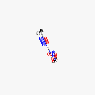 CCC(C)(CC)CCCCCNC(=O)NC(=O)NC(=O)NCCCCCCNC(=O)OCC1COC(=O)N(C(C)(C)CC)C(C)(C)OC(=O)N1